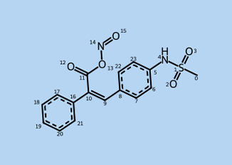 CS(=O)(=O)Nc1ccc(C=C(C(=O)ON=O)c2ccccc2)cc1